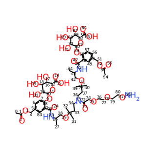 CC(=O)OCc1ccc(O[C@@H]2O[C@H](C(=O)O)[C@@H](O)[C@H](O)[C@H]2O)c(C(=O)NC(C)COC(C)(C)CCN(CCC(C)(C)OCC(C)NC(=O)c2cc(COC(C)=O)ccc2O[C@@H]2O[C@H](C(=O)O)[C@@H](O)[C@H](O)[C@H]2O)C(=O)COCCOCCON)c1